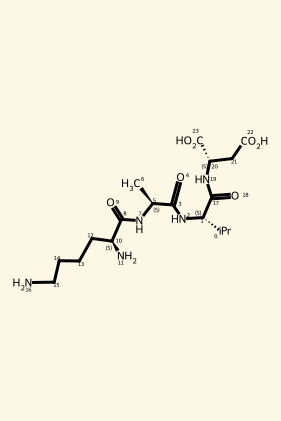 CC(C)[C@H](NC(=O)[C@H](C)NC(=O)[C@@H](N)CCCCN)C(=O)N[C@@H](CC(=O)O)C(=O)O